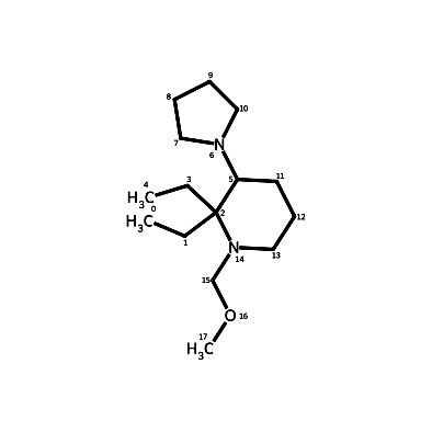 CCC1(CC)C(N2CCCC2)CCCN1COC